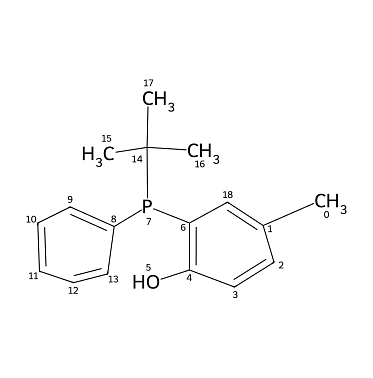 Cc1ccc(O)c(P(c2ccccc2)C(C)(C)C)c1